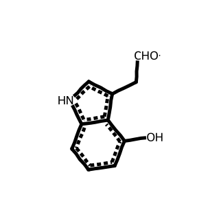 O=[C]Cc1c[nH]c2cccc(O)c12